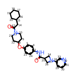 O=C(Nc1ccc(OC2CCN(C(=O)CC3CCCCC3)CC2)cc1)C1CN(c2cccnc2)C1